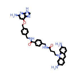 Nc1ccc2cc3ccc(N)cc3[n+](CCCC(=O)NCc3ccc(C(=O)NCc4ccc(COc5cc(N)nc6[nH]cnc56)cc4)cc3)c2c1